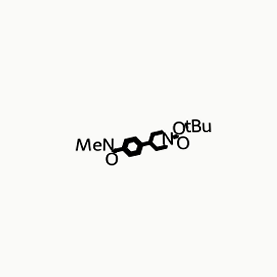 CNC(=O)c1ccc(C2CCN(C(=O)OC(C)(C)C)CC2)cc1